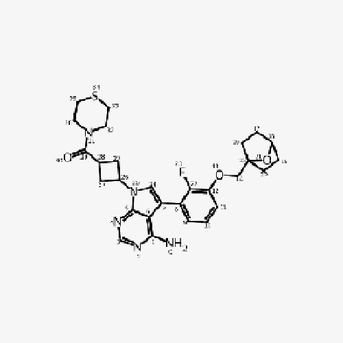 Nc1ncnc2c1c(-c1cccc(OCC34CCC(CC3)O4)c1F)cn2C1CC(C(=O)N2CCSCC2)C1